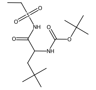 CCS(=O)(=O)NC(=O)C(CC(C)(C)C)NC(=O)OC(C)(C)C